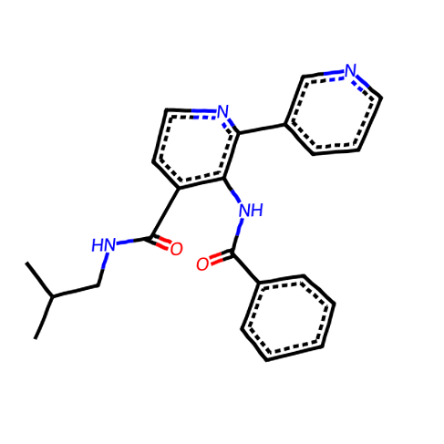 CC(C)CNC(=O)c1ccnc(-c2cccnc2)c1NC(=O)c1ccccc1